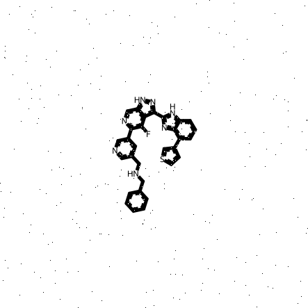 Fc1c(-c2cncc(CNCc3ccccc3)c2)ncc2[nH]nc(-c3nc4c(-c5ccsc5)cccc4[nH]3)c12